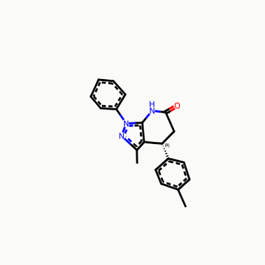 Cc1ccc([C@H]2CC(=O)Nc3c2c(C)nn3-c2ccccc2)cc1